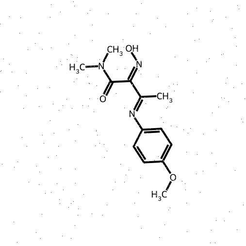 COc1ccc(/N=C(C)/C(=N/O)C(=O)N(C)C)cc1